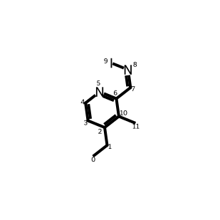 CCc1ccnc(/C=N\I)c1C